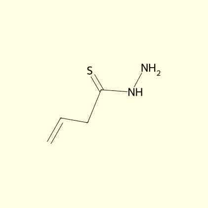 C=CCC(=S)NN